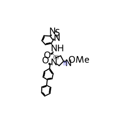 CO/N=C1\C[C@@H](C(=O)Nc2cccc3nsnc23)N(C(=O)c2ccc(-c3ccccc3)cc2)C1